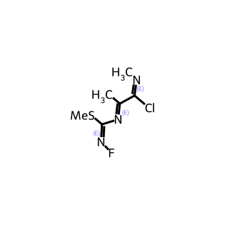 C\N=C(Cl)/C(C)=N/C(=N\F)SC